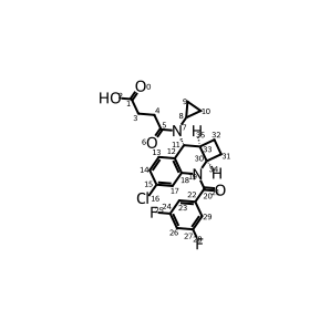 O=C(O)CCC(=O)N(C1CC1)[C@H]1c2ccc(Cl)cc2N(C(=O)c2cc(F)cc(F)c2)[C@@H]2CC[C@@H]21